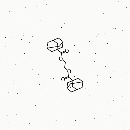 O=C(OCCOC(=O)C12CC3CC(CC(C3)C1)C2)C12CC3CC(CC(C3)C1)C2